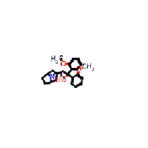 COc1ccccc1C(O)(CC1CC2CCC(C1)N2C)c1ccccc1OC